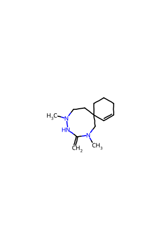 C=C1NN(C)CCC2(C=CCCC2)CN1C